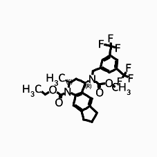 CCOC(=O)N1c2cc3c(cc2[C@H](N(Cc2cc(C(F)(F)F)cc(C(F)(F)F)c2)C(=O)OC)C[C@@H]1C)CCC3